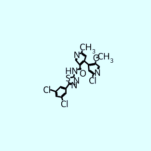 COc1cnc(Cl)cc1-c1cc(C)ncc1C(=O)Nc1nnc(-c2cc(Cl)cc(Cl)c2)s1